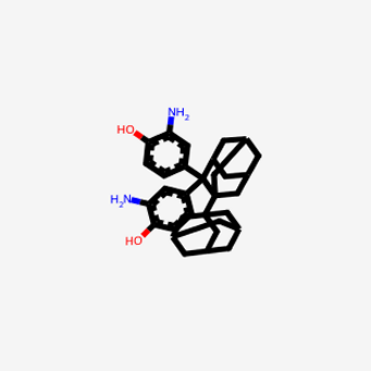 Nc1cc(C2(c3ccc(O)c(N)c3)C3CC4CC(C3)CC2(C23CC5CC(CC(C5)C2)C3)C4)ccc1O